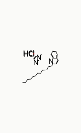 CCCCCCCCCCCCc1ccc2ccccc2n1.Cl.Cl.Cn1ccnc1